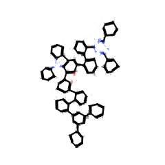 c1ccc(-c2cc(-c3ccccc3)cc(-c3ccccc3-c3ccccc3-c3cccc4c3oc3c(-c5ccccc5-c5ccccc5-c5nc(-c6ccccc6)nc(-c6ccccc6)n5)cc5c6ccccc6n(-c6ccccc6)c5c34)c2)cc1